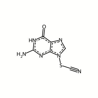 N#CSn1cnc2c(=O)[nH]c(N)nc21